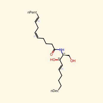 CCCCC/C=C/C/C=C\CCCC(=O)N[C@@H](CO)[C@H](O)/C=C/CCCCCCCCCCCCC